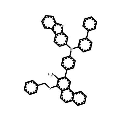 Nc1c(-c2ccc(N(c3cccc(-c4ccccc4)c3)c3ccc4c(c3)sc3ccccc34)cc2)cc2c(ccc3ccccc32)c1SCc1ccccc1